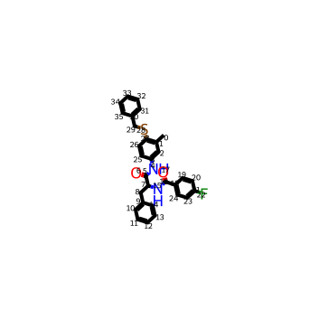 Cc1cc(NC(=O)C(Cc2ccccc2)NC(=O)c2ccc(F)cc2)ccc1SCc1ccccc1